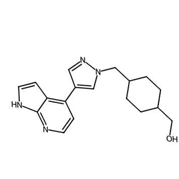 OCC1CCC(Cn2cc(-c3ccnc4[nH]ccc34)cn2)CC1